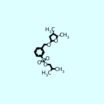 CC(C)COS(=O)(=O)c1cccc(COC2C[C@@H](C)[C@H](C)O2)c1